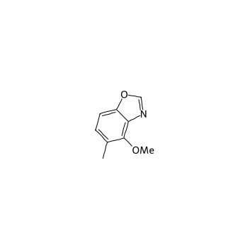 COc1c(C)ccc2ocnc12